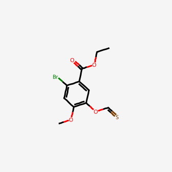 CCOC(=O)c1cc(OC=S)c(OC)cc1Br